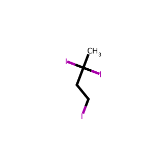 CC(I)(I)CCI